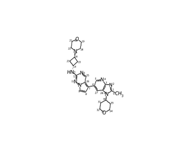 Cc1nc2ncc(-c3ccn4nc(N[C@H]5C[C@H](N6CCOCC6)C5)ncc34)cc2n1C1CCOCC1